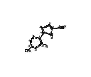 C#Cc1cnn(-c2ccc(Cl)cc2C)n1